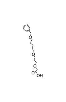 O=C(O)COCCCOCCCCCOCc1ccccc1